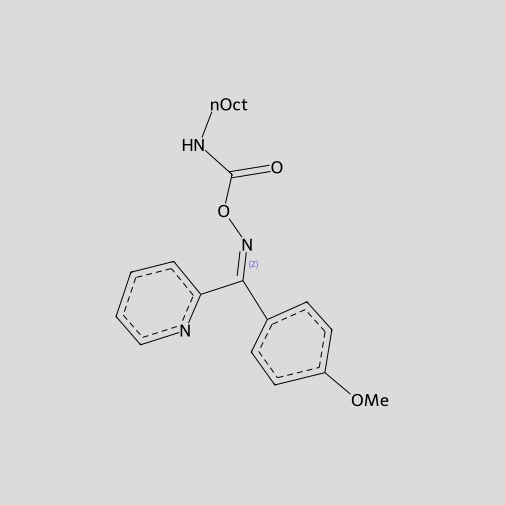 CCCCCCCCNC(=O)O/N=C(/c1ccc(OC)cc1)c1ccccn1